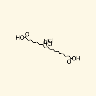 Cl.Cl.O=C(O)CCCCCCCCCCCCCCCCC(=O)O